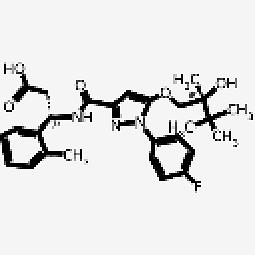 Cc1ccccc1[C@H](CC(=O)O)NC(=O)c1cc(OC[C@](C)(O)C(C)(C)C)n(-c2ccc(F)cc2)n1